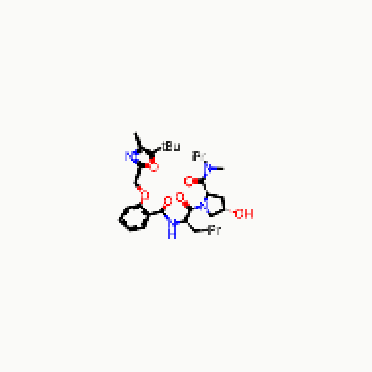 Cc1nc(COc2ccccc2C(=O)N[C@H](CC(C)C)C(=O)N2C[C@@H](O)C[C@@H]2C(=O)N(C)C(C)C)oc1C(C)(C)C